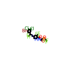 C[C@H](CS(=O)(=O)CC(F)(F)F)NC(=O)c1ccc(/C=C/C(c2cc(Cl)c(Cl)c(Br)c2)C(F)(F)F)cc1C(F)(F)F